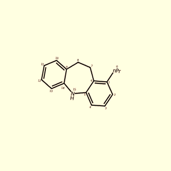 CCCc1cccc2c1CCc1ccccc1N2